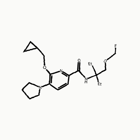 CCC(CC)(COCF)NC(=O)c1ccc(N2CCCC2)c(OCC2CC2)n1